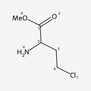 COC(=O)C(N)CCCl